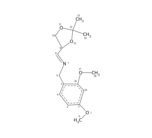 COc1ccc(CN=CC2COC(C)(C)O2)c(OC)c1